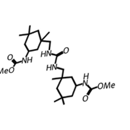 COC(=O)NC1CC(C)(C)CC(C)(CNC(=O)NCC2(C)CC(NC(=O)OC)CC(C)(C)C2)C1